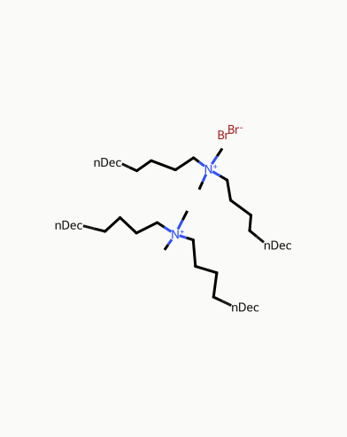 CCCCCCCCCCCCCC[N+](C)(C)CCCCCCCCCCCCCC.CCCCCCCCCCCCCC[N+](C)(C)CCCCCCCCCCCCCC.[Br-].[Br-]